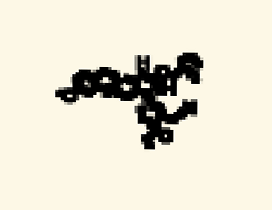 C=CC(=O)N1CCN(C2NC(OCC3CCCN3C)NC3C[C@]4(CCc5ccc(OC)cc5S4)CCC32)CC1CC#N